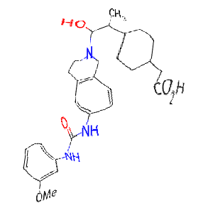 COc1cccc(NC(=O)Nc2ccc3c(c2)CCN(C(O)C(C)C2CCC(CC(=O)O)CC2)C3)c1